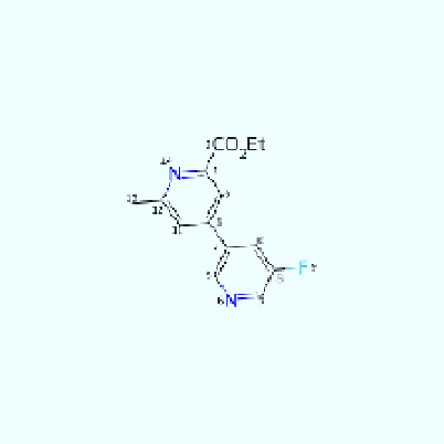 CCOC(=O)c1cc(-c2cncc(F)c2)cc(C)n1